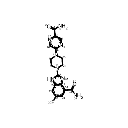 NC(=O)c1cnc(N2CCN(c3nc4c(C(N)=O)cc(F)cc4[nH]3)CC2)cn1